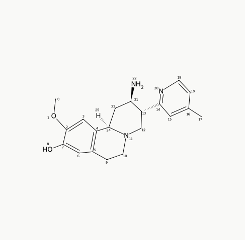 COc1cc2c(cc1O)CCN1C[C@@H](c3cc(C)ccn3)[C@H](N)C[C@H]21